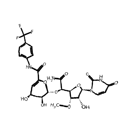 CO[C@H]1[C@@H](O)[C@H](n2ccc(=O)[nH]c2=O)O[C@@H]1[C@@H](O[C@H]1OC(C(=O)Nc2ccc(C(F)(F)F)cc2)=C[C@H](O)[C@@H]1O)C(N)=O